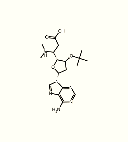 C[SiH](C)C(CC(=O)O)[C@H]1O[C@@H](n2cnc3c(N)ncnc32)C[C@@H]1OC(C)(C)C